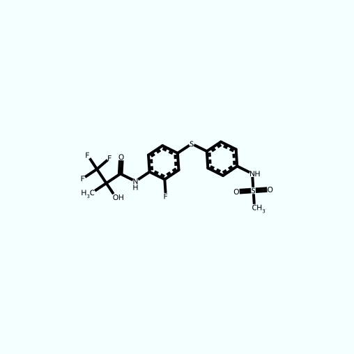 CC(O)(C(=O)Nc1ccc(Sc2ccc(NS(C)(=O)=O)cc2)cc1F)C(F)(F)F